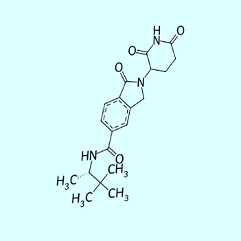 C[C@H](NC(=O)c1ccc2c(c1)CN(C1CCC(=O)NC1=O)C2=O)C(C)(C)C